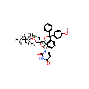 COc1ccc(C(O[C@H]2C[C@H](n3ccc(=O)[nH]c3=O)O[C@]2(CCl)CO[Si](C)(C)C(C)(C)C)(c2ccccc2)c2ccccc2)cc1